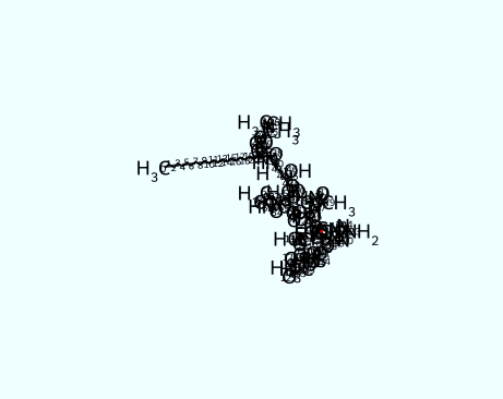 CCCCCCCCCCCCCCCCCCCCCC(=O)N[C@@H](COP(=O)([O-])OCC[N+](C)(C)C)C(=O)NCCCCC(CO)COP(=O)(O)O[C@@H]1C[C@H](n2cc(C)c(=O)[nH]c2=O)O[C@@H]1COP(=O)(O)O[C@@H]1C[C@H](n2cc(C)c(=O)[nH]c2=O)O[C@@H]1COP(=O)(O)O[C@@H]1C(OC)[C@H](n2cnc3c(N)ncnc32)O[C@@H]1COP(O)(=S)O[C@@H]1C(OC)[C@H](C2C=CC(=O)NC2=O)O[C@@H]1COP(C)(O)=S